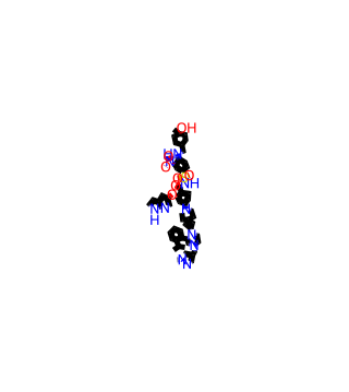 CC(C)c1ccccc1C1CN(Cc2cnn(C)c2)CCN1C1CC2(CCN(c3ccc(C(=O)NS(=O)(=O)c4ccc(NCC5CCC(C)(O)CC5)c([N+](=O)[O-])c4)c(Oc4cnc5[nH]ccc5c4)c3)CC2)C1